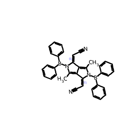 Cc1c2/c(=C\C#N)n(B(c3ccccc3)c3ccccc3)c(C)c2/c(=C\C#N)n1B(c1ccccc1)c1ccccc1